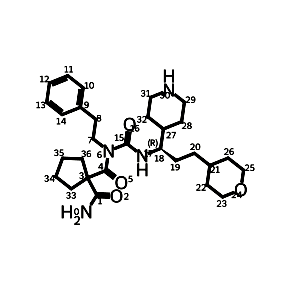 NC(=O)C1(C(=O)N(CCc2ccccc2)C(=O)N[C@H](CCC2CCOCC2)C2CCNCC2)CCCC1